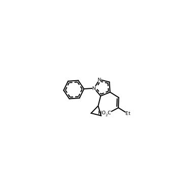 CCC(=Cc1cnn(-c2ccccc2)c1C1CC1)C(=O)O